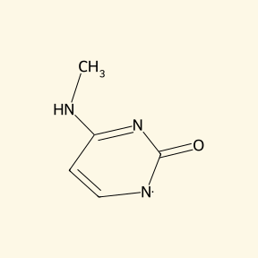 CNC1=NC(=O)[N]C=C1